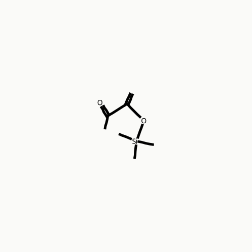 C=C(O[Si](C)(C)C)C(C)=O